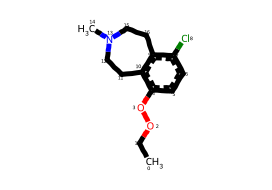 CCOOc1ccc(Cl)c2c1CCN(C)CC2